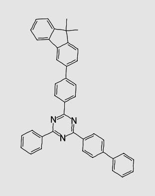 CC1(C)c2ccccc2-c2cc(-c3ccc(-c4nc(-c5ccccc5)nc(-c5ccc(-c6ccccc6)cc5)n4)cc3)ccc21